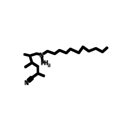 CCCCCCCCCCCN(P)CC(C)C(C)CC(C)C#N